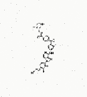 Cc1cc(Nc2nccn3c(-c4ccc(OCC#N)c(F)c4F)cnc23)ccc1C(=O)N1CCC(C(=O)OC[C@@H]2CNCCN2)CC1